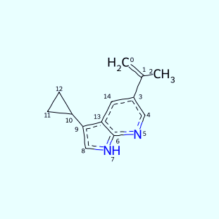 C=C(C)c1cnc2[nH]cc(C3CC3)c2c1